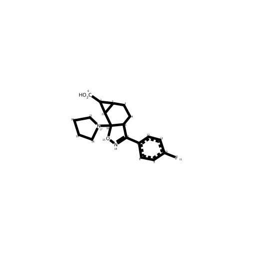 O=C(O)C1C2CCC3C(c4ccc(F)cc4)=NOC3(N3CCCC3)C21